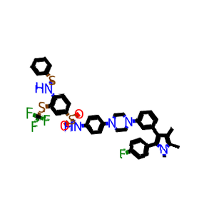 Cc1c(-c2cccc(N3CCN(c4ccc(NS(=O)(=O)c5ccc(NSc6ccccc6)c(SC(F)(F)F)c5)cc4)CC3)c2)c(-c2ccc(F)cc2)n(C)c1C